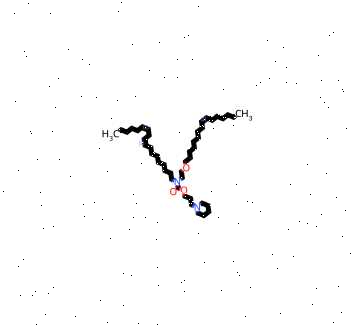 CCCCC/C=C\C/C=C\CCCCCCCCN(CCOCCCCCCCC/C=C\CCCCCC)C(=O)OCCCN1CCCCC1